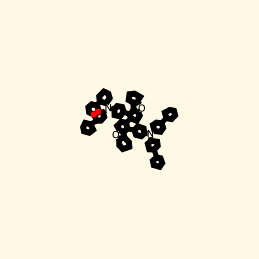 c1ccc(-c2ccc(N(c3ccc(-c4ccccc4)cc3)c3ccc(-c4c(-c5ccc6oc7ccccc7c6c5-c5ccc(N(c6ccc(-c7ccccc7)cc6)c6ccccc6-c6ccccc6)cc5)ccc5oc6ccccc6c45)cc3)cc2)cc1